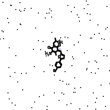 CC1=C(N)C(=O)N(CC(C)O)C(=O)/C1=C/c1ccc(-c2ccc(Br)cc2)o1